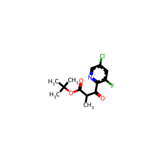 CC(C(=O)OC(C)(C)C)C(=O)c1ncc(Cl)cc1F